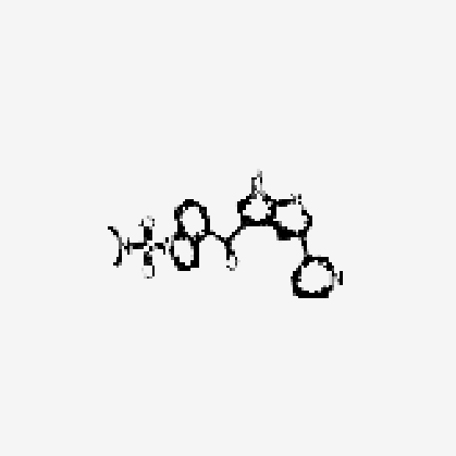 CN(C)S(=O)(=O)n1ccc2c(C(=O)c3c[nH]c4ncc(-c5cccnc5)cc34)cccc21